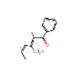 C/C=C\C(C(=O)O)=C(/C)C(=O)c1ccccc1